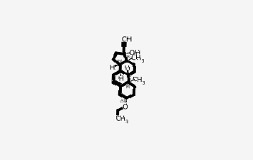 C#C[C@]1(O)CC[C@H]2[C@@H]3CC=C4C[C@@H](OCC)CC[C@]4(C)[C@H]3CC[C@@]21C